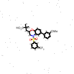 COc1cccc(-c2ccc3c(c2)N(S(=O)(=O)c2cccc(C(F)(F)F)c2)CC(CC(C)(C)C(=O)O)O3)c1